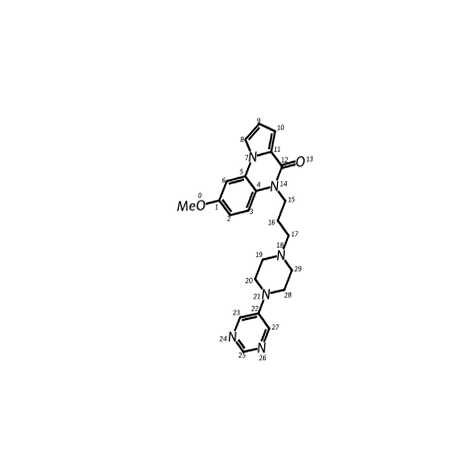 COc1ccc2c(c1)n1cccc1c(=O)n2CCCN1CCN(c2cncnc2)CC1